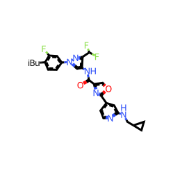 CCC(C)c1ccc(-n2cc(NC(=O)c3coc(-c4ccnc(NCC5CC5)c4)n3)c(C(F)F)n2)cc1F